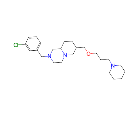 Clc1cccc(CN2CCN3CC(COCCCN4CCCCC4)CCC3C2)c1